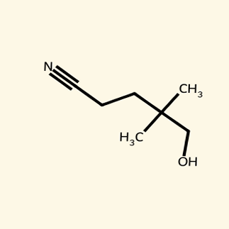 CC(C)(CO)CCC#N